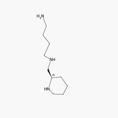 NCCCCNC[C@H]1CCCCN1